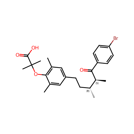 Cc1cc(CC[C@@H](C)[C@H](C)C(=O)c2ccc(Br)cc2)cc(C)c1OC(C)(C)C(=O)O